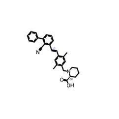 Cc1cc(CN2CCCC[C@H]2C(=O)O)c(C)cc1/C=C/c1cccc(-c2ccccc2)c1C#N